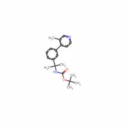 Cc1cnccc1-c1cccc(C(C)(C)NC(=O)OC(C)(C)C)c1